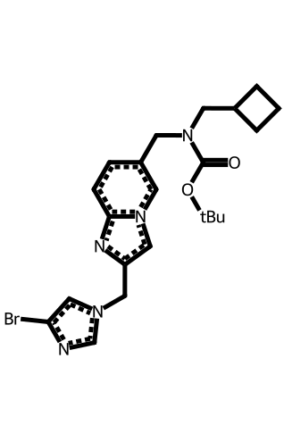 CC(C)(C)OC(=O)N(Cc1ccc2nc(Cn3cnc(Br)c3)cn2c1)CC1CCC1